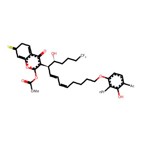 CCCc1c(OCCCC/C=C\C=C\[C@@H](c2c(OC(=O)OC)oc3c(c2=O)=CCC(=S)C=3)[C@H](O)CCCC(F)(F)F)ccc(C(C)=O)c1O